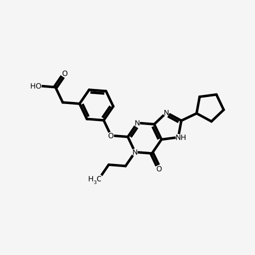 CCCn1c(Oc2cccc(CC(=O)O)c2)nc2nc(C3CCCC3)[nH]c2c1=O